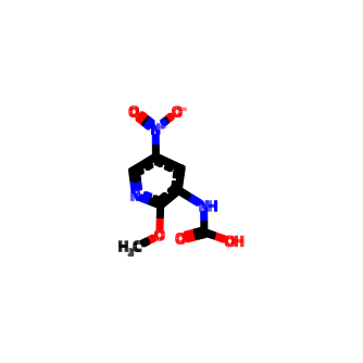 COc1ncc([N+](=O)[O-])cc1NC(=O)O